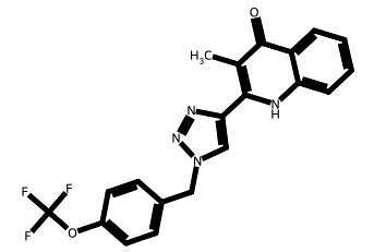 Cc1c(-c2cn(Cc3ccc(OC(F)(F)F)cc3)nn2)[nH]c2ccccc2c1=O